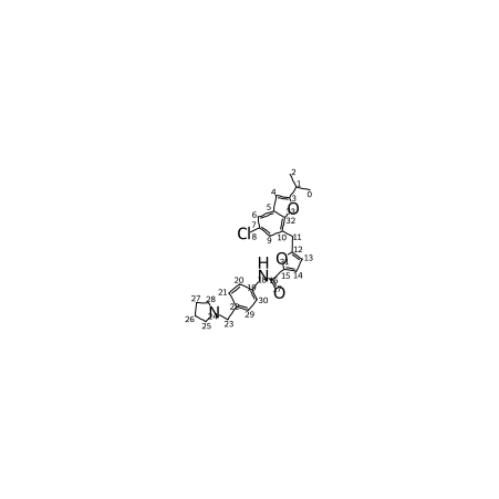 CC(C)c1cc2cc(Cl)cc(Cc3ccc(C(=O)Nc4ccc(CN5CCCC5)cc4)o3)c2o1